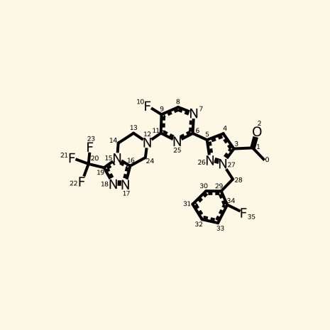 CC(=O)c1cc(-c2ncc(F)c(N3CCn4c(nnc4C(F)(F)F)C3)n2)nn1Cc1ccccc1F